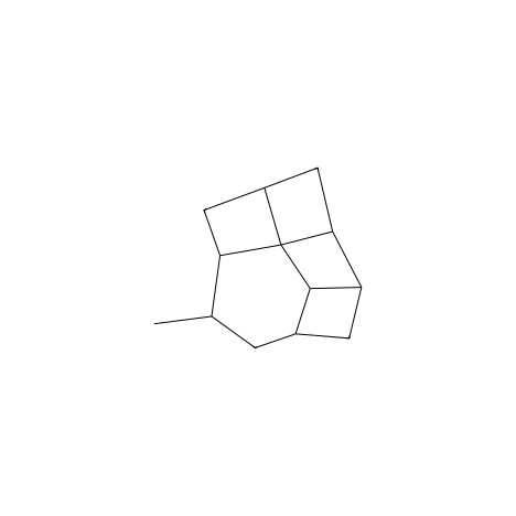 CC1CC2CC3C4CC5CC1C54C23